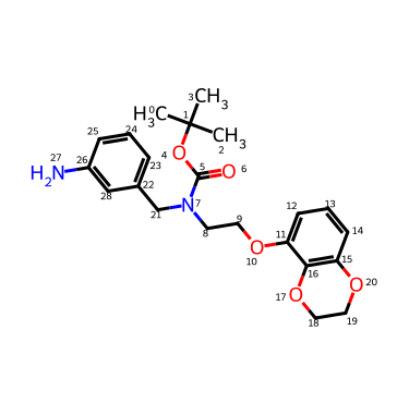 CC(C)(C)OC(=O)N(CCOc1cccc2c1OCCO2)Cc1cccc(N)c1